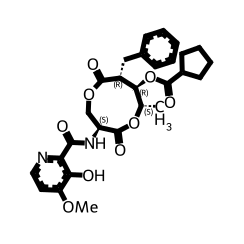 COc1ccnc(C(=O)N[C@H]2COC(=O)[C@H](Cc3ccccc3)[C@@H](OC(=O)C3CCCC3)[C@H](C)OC2=O)c1O